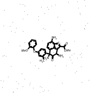 COC(=O)c1sc2c(N)ccc3c2c1C(N)C(=O)C3(N)c1ccc(Oc2ccccc2OC)cc1C